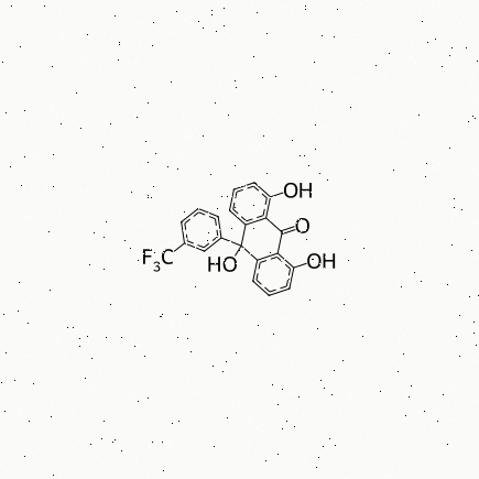 O=C1c2c(O)cccc2C(O)(c2cccc(C(F)(F)F)c2)c2cccc(O)c21